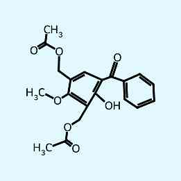 COc1c(COC(C)=O)cc(C(=O)c2ccccc2)c(O)c1COC(C)=O